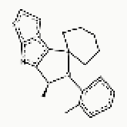 Cc1ccccc1N1[C@@H](C)c2nc3sccn3c2C12CCCCC2